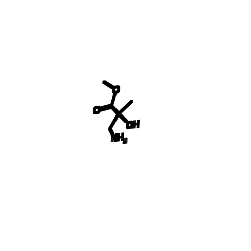 COC(=O)C(C)(O)CN